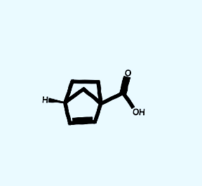 O=C(O)C12C=C[C@H](CC1)C2